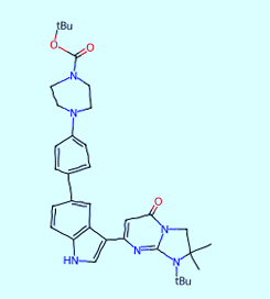 CC(C)(C)OC(=O)N1CCN(c2ccc(-c3ccc4[nH]cc(-c5cc(=O)n6c(n5)N(C(C)(C)C)C(C)(C)C6)c4c3)cc2)CC1